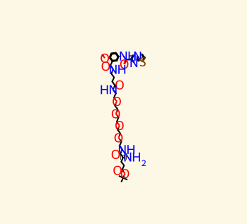 COc1ccc(NC(=O)c2cn3ccsc3n2)cc1C(=O)NCCCC(=O)NCCOCCOCCOCCOCCNC(=O)[C@H](N)CCC(=O)OC(C)(C)C